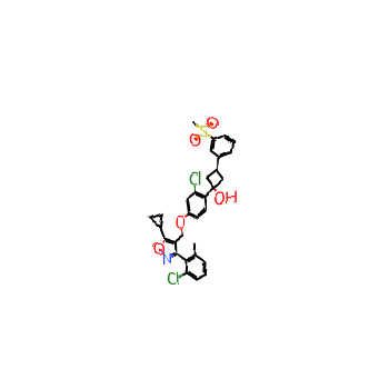 Cc1cccc(Cl)c1-c1noc(C2CC2)c1COc1ccc([C@]2(O)C[C@@H](c3cccc(S(C)(=O)=O)c3)C2)c(Cl)c1